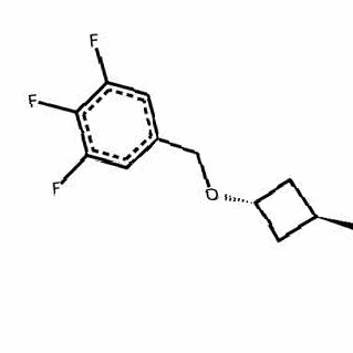 CC[C@H]1C[C@H](OCc2cc(F)c(F)c(F)c2)C1